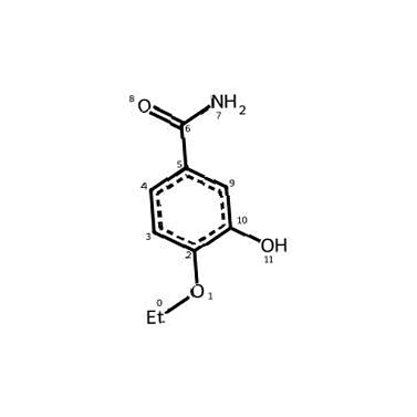 CCOc1ccc(C(N)=O)cc1O